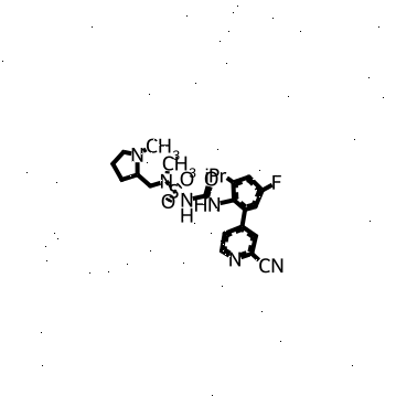 CC(C)c1cc(F)cc(-c2ccnc(C#N)c2)c1NC(=O)NS(=O)(=O)N(C)CC1CCCN1C